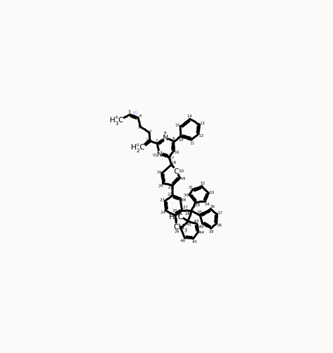 C=C(CC/C=C\C)c1nc(-c2ccccc2)cc(C2C=CC(c3ccc(C)c(C(c4ccccc4)(c4ccccc4)C4(C)C=CC=CC4)c3)=CC2)n1